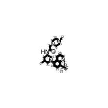 CC1CC(NC(=O)CN2CCN(C)CC2)CN(c2ccc(C(F)(F)F)c3ncccc23)C1